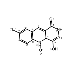 O=C1NN=C(O)C2C1=Cc1cc(Cl)ccc1[NH+]2[O-]